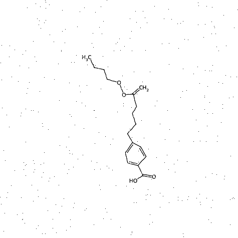 C=C(CCCCc1ccc(C(=O)O)cc1)OOCCCC